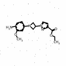 CCOC(=O)c1ccn(C2CN(c3ccc(N)c(OC)c3)C2)n1